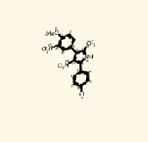 COc1ccc(-c2c(C(F)(F)F)[nH]c(-c3ccc(Cl)cc3)c2[N+](=O)[O-])cc1[N+](=O)[O-]